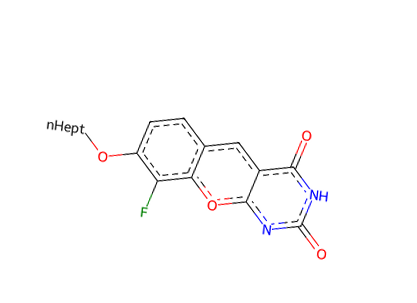 CCCCCCCOc1ccc2cc3c(=O)[nH]c(=O)nc-3oc2c1F